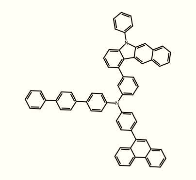 c1ccc(-c2ccc(-c3ccc(N(c4ccc(-c5cc6ccccc6c6ccccc56)cc4)c4cccc(-c5cccc6c5c5cc7ccccc7cc5n6-c5ccccc5)c4)cc3)cc2)cc1